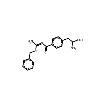 NC(=NC(=O)c1ccc(CC(N)C(=O)O)cc1)NCc1ccccc1